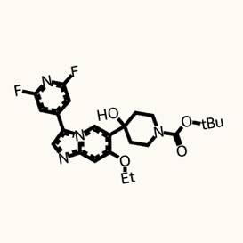 CCOc1cc2ncc(-c3cc(F)nc(F)c3)n2cc1C1(O)CCN(C(=O)OC(C)(C)C)CC1